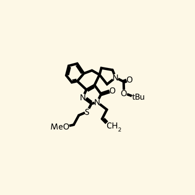 C=CCn1c(SCCOC)nc2c(c1=O)C1(CCN(C(=O)OC(C)(C)C)C1)Cc1ccccc1-2